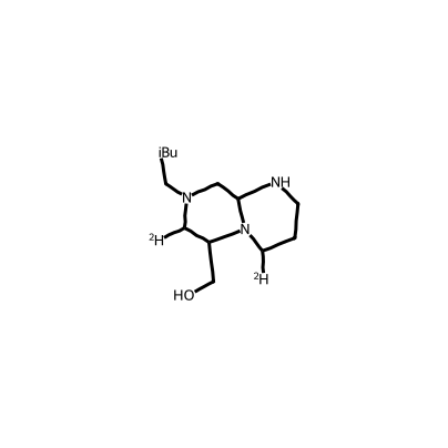 [2H]C1C(CO)N2C([2H])CCNC2CN1CC(C)CC